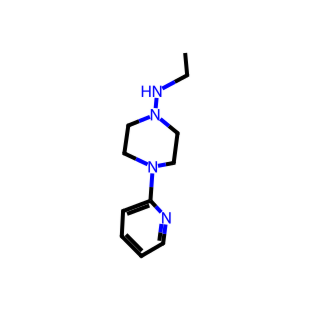 CCNN1CCN(c2ccccn2)CC1